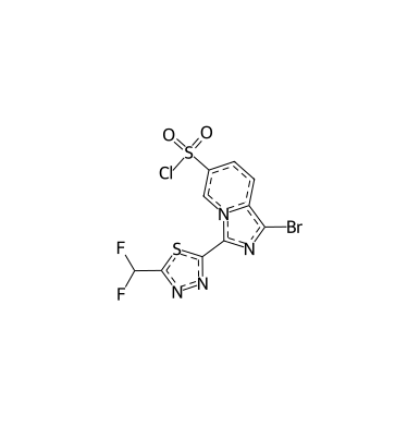 O=S(=O)(Cl)c1ccc2c(Br)nc(-c3nnc(C(F)F)s3)n2c1